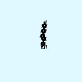 Cc1ccc(-c2ccc3cc(-c4ccc(-c5ccc(Cl)cc5)cc4)ccc3c2)cc1